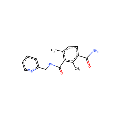 Cc1ccc(C(N)=O)c(C)c1C(=O)NCc1ccccn1